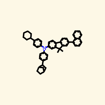 CC1(C)c2cc(-c3cccc4ccccc34)ccc2-c2ccc(N(c3ccc(C4CCCCC4)cc3)c3ccc(C4CC5CCC4C5)cc3)cc21